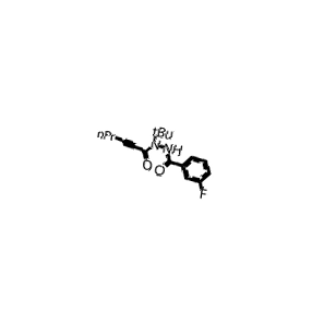 CCCC#CC(=O)N(NC(=O)c1cccc(F)c1)C(C)(C)C